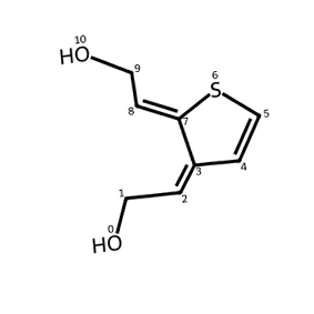 OCC=c1ccsc1=CCO